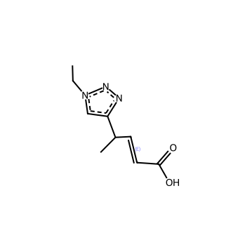 CCn1cc(C(C)/C=C/C(=O)O)nn1